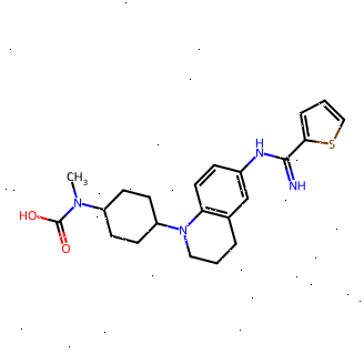 CN(C(=O)O)C1CCC(N2CCCc3cc(NC(=N)c4cccs4)ccc32)CC1